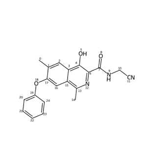 Cc1cc2c(O)c(C(=O)NCC#N)nc(C)c2cc1Oc1ccccc1